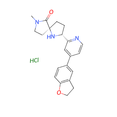 CN1CC[C@@]2(CC[C@H](c3cc(-c4ccc5c(c4)CCO5)ccn3)N2)C1=O.Cl